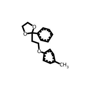 Cc1ccc(OCCC2(c3ccccc3)OCCO2)cc1